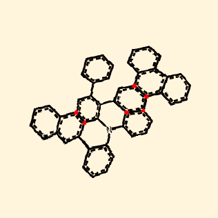 c1ccc(-c2cccc(N(c3cccc(-c4cc5ccccc5c5ccccc45)c3)c3ccccc3-c3ccc4ccccc4c3)c2-c2ccccc2)cc1